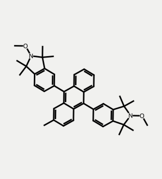 CON1C(C)(C)c2ccc(-c3c4ccccc4c(-c4ccc5c(c4)C(C)(C)N(OC)C5(C)C)c4cc(C)ccc34)cc2C1(C)C